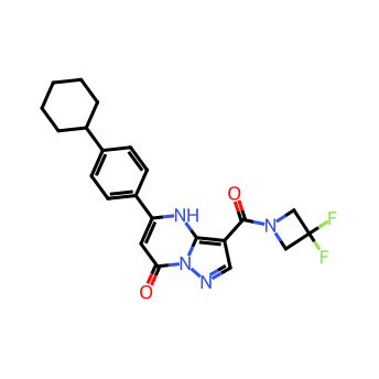 O=C(c1cnn2c(=O)cc(-c3ccc(C4CCCCC4)cc3)[nH]c12)N1CC(F)(F)C1